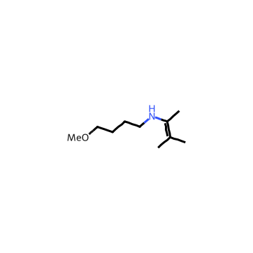 COCCCCNC(C)=C(C)C